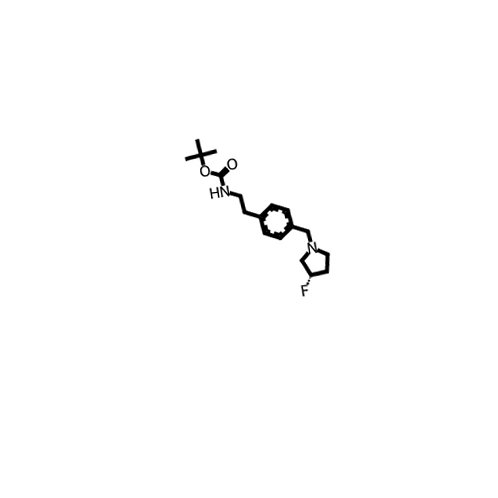 CC(C)(C)OC(=O)NCCc1ccc(CN2CC[C@H](F)C2)cc1